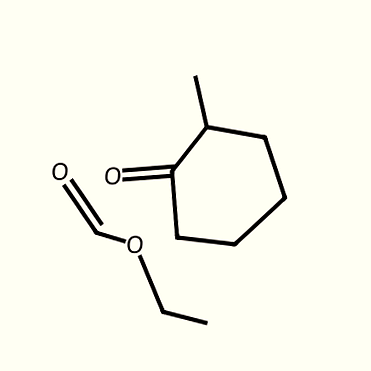 CC1CCCCC1=O.CCOC=O